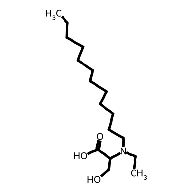 CCCCCCCCCCCCN(CC)C(CO)C(=O)O